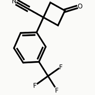 N#CC1(c2cccc(C(F)(F)F)c2)CC(=O)C1